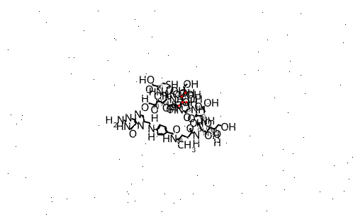 C[C@H](CCC(=O)N[C@H](C(=O)N[C@@H](CC(=O)O)C(=O)N[C@H](C(=O)N[C@H](C(=O)N[C@H](C(=O)N[C@@H](CS)C(=O)O)[C@@H](O)[C@H](O)[C@H](O)CO)[C@@H](O)C(O)[C@H](O)CO)[C@@H](O)[C@H](O)[C@H](O)CO)[C@@H](O)[C@H](O)[C@H](O)CO)NC(=O)c1ccc(NCc2cnc3nc(N)[nH]c(=O)c3n2)cc1